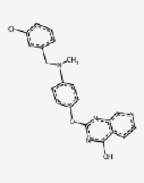 CN(Cc1cccc(Cl)c1)c1ccc(Oc2nc(O)c3ccncc3n2)cc1